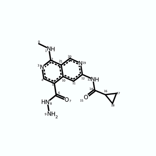 CNc1ncc(C(=O)NN)c2cc(NC(=O)C3CC3)ncc12